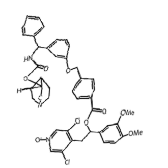 COc1ccc(C(Cc2c(Cl)c[n+]([O-])cc2Cl)OC(=O)c2ccc(COc3cccc(C(NC(=O)O[C@H]4CN5CCC4CC5)c4ccccc4)c3)cc2)cc1OC